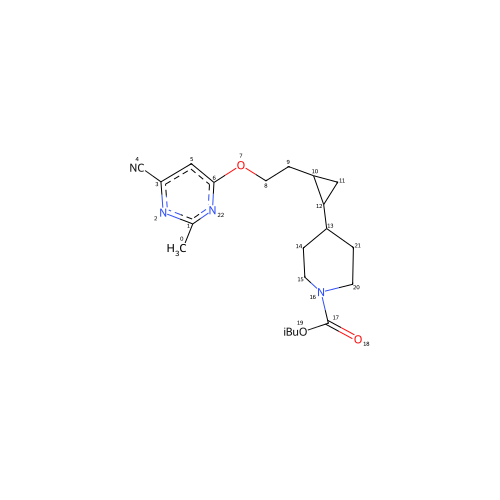 Cc1nc(C#N)cc(OCCC2CC2C2CCN(C(=O)OCC(C)C)CC2)n1